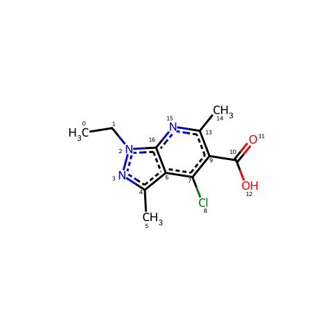 CCn1nc(C)c2c(Cl)c(C(=O)O)c(C)nc21